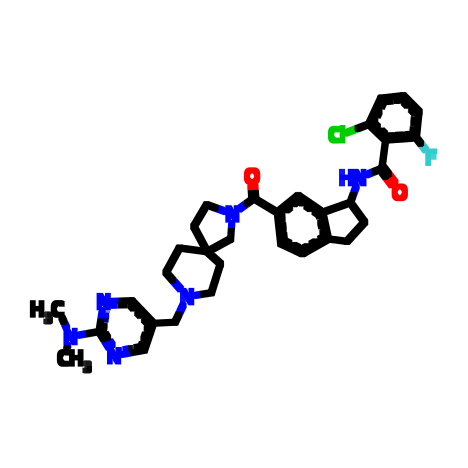 CN(C)c1ncc(CN2CCC3(CC2)CCN(C(=O)c2ccc4c(c2)C(NC(=O)c2c(F)cccc2Cl)CC4)C3)cn1